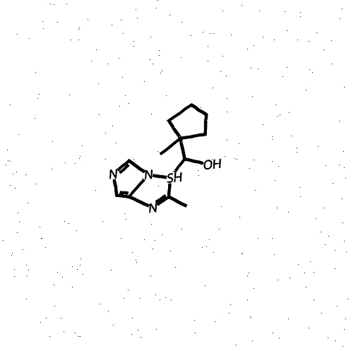 CC1=Nc2cncn2[SH]1C(O)C1(C)CCCC1